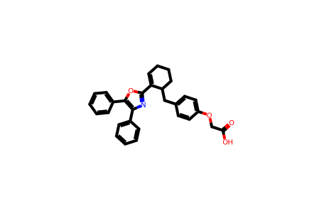 O=C(O)COc1ccc(CC2CCCC=C2c2nc(-c3ccccc3)c(-c3ccccc3)o2)cc1